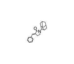 O=C1/C(=C/c2ccccc2)CCN1C1C2CC3CC(C2)CC1C3